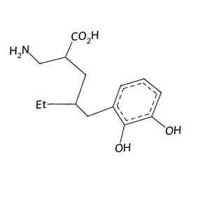 CCC(Cc1cccc(O)c1O)CC(CN)C(=O)O